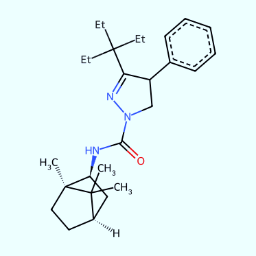 CCC(CC)(CC)C1=NN(C(=O)N[C@H]2C[C@H]3CC[C@]2(C)C3(C)C)CC1c1ccccc1